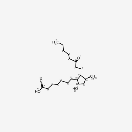 CCCCCC(=O)CC[C@H]1[C@H](CCCCCCC(=O)O)[C@@H](O)C[C@@H]1C